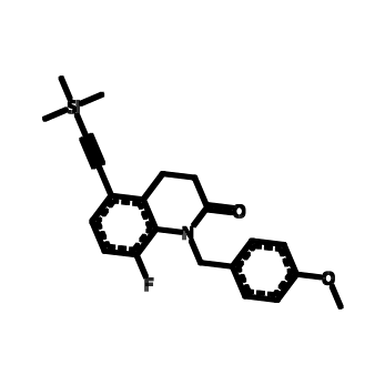 COc1ccc(CN2C(=O)CCc3c(C#C[Si](C)(C)C)ccc(F)c32)cc1